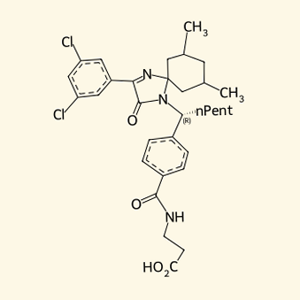 CCCCC[C@H](c1ccc(C(=O)NCCC(=O)O)cc1)N1C(=O)C(c2cc(Cl)cc(Cl)c2)=NC12CC(C)CC(C)C2